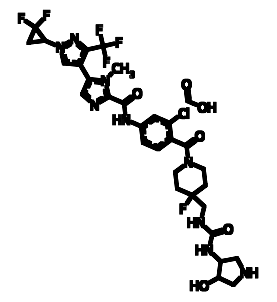 Cn1c(-c2cn(C3CC3(F)F)nc2C(F)(F)F)cnc1C(=O)Nc1ccc(C(=O)N2CCC(F)(CNC(=O)NC3CNCC3O)CC2)c(Cl)c1.O=CO